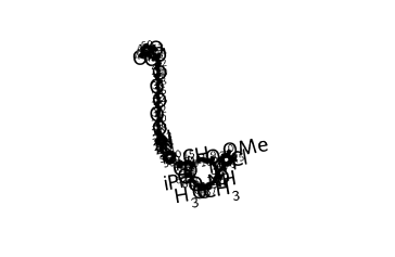 COc1ccc(C[C@H]2NC(=O)/C=C/C[C@@H]([C@H](C)[C@H]3O[C@@H]3c3ccc(Cn4cc(COCCOCCOCCOCCOCCC(=O)ON5C(=O)CCC5=O)nn4)cc3)OC(=O)[C@H](CC(C)C)OC(=O)C(C)(C)CNC2=O)cc1Cl